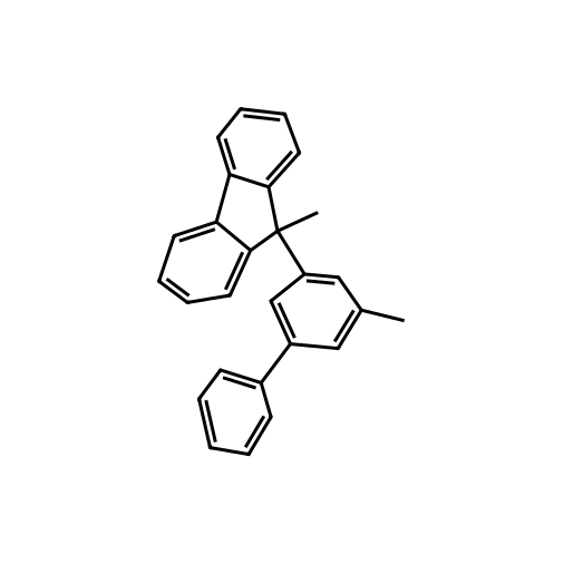 Cc1cc(-c2ccccc2)cc(C2(C)c3ccccc3-c3ccccc32)c1